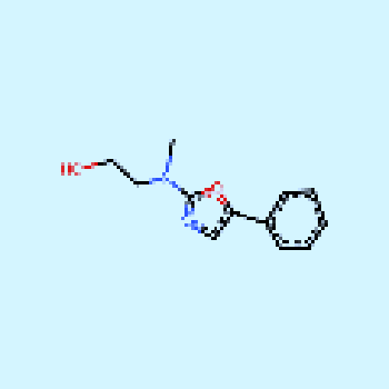 CN(CCO)c1ncc(-c2ccccc2)o1